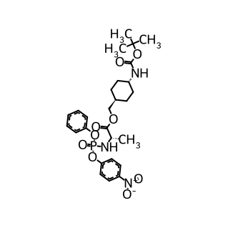 C[C@H](NP(=O)(Oc1ccccc1)Oc1ccc([N+](=O)[O-])cc1)C(=O)OC[C@H]1CC[C@H](NC(=O)OC(C)(C)C)CC1